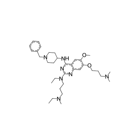 CCN(C)CCCN(CC)c1nc(NC2CCN(Cc3ccccc3)CC2)c2cc(OC)c(OCCCN(C)C)cc2n1